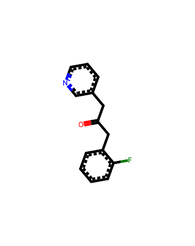 O=C(Cc1cccnc1)Cc1ccccc1F